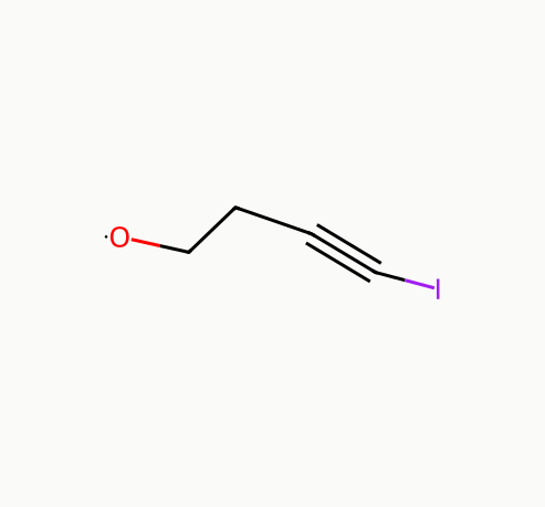 [O]CCC#CI